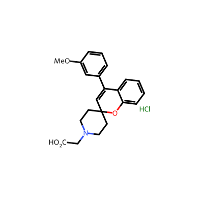 COc1cccc(C2=CC3(CCN(CC(=O)O)CC3)Oc3ccccc32)c1.Cl